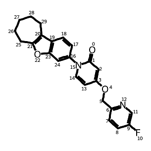 O=c1cc(OCc2ccc(F)cn2)ccn1-c1ccc2c3c(oc2c1)CCCCC3